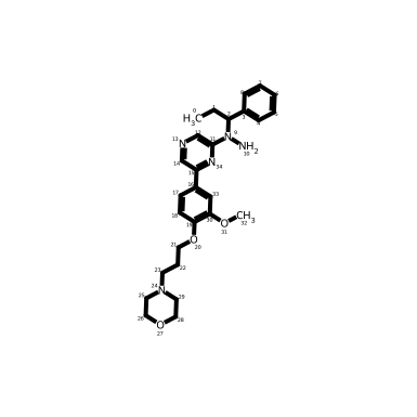 CCC(c1ccccc1)N(N)c1cncc(-c2ccc(OCCCN3CCOCC3)c(OC)c2)n1